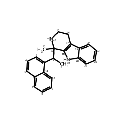 CC(c1cccc2ccccc12)C1(C)NCCc2c1[nH]c1ccccc21